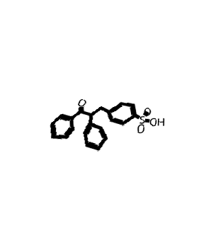 O=C(c1ccccc1)C(Cc1ccc(S(=O)(=O)O)cc1)c1ccccc1